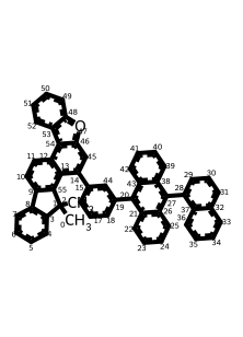 CC1(C)c2ccccc2-c2ccc3c(c(-c4cccc(-c5c6ccccc6c(-c6cccc7ccccc67)c6ccccc56)c4)cc4oc5ccccc5c43)c21